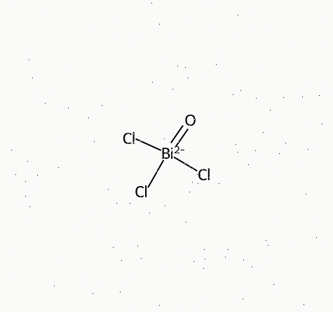 [O]=[Bi-2]([Cl])([Cl])[Cl]